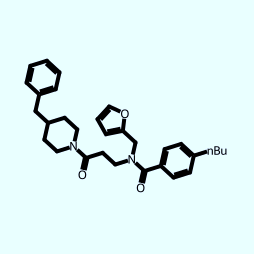 CCCCc1ccc(C(=O)N(CCC(=O)N2CCC(Cc3ccccc3)CC2)Cc2ccco2)cc1